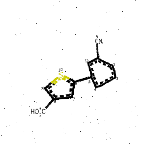 N#Cc1cccc(-c2cc(C(=O)O)cs2)c1